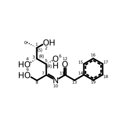 C[C@H](O)[C@@H](O)[C@H](O)C(CO)=NC(=O)Cc1ccccc1